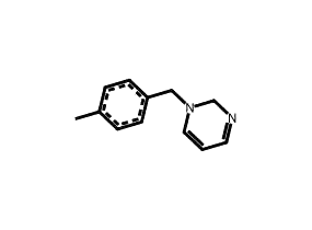 Cc1ccc(CN2C=CC=NC2)cc1